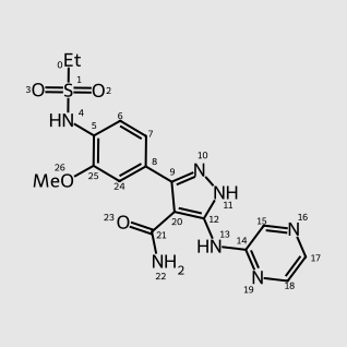 CCS(=O)(=O)Nc1ccc(-c2n[nH]c(Nc3cnccn3)c2C(N)=O)cc1OC